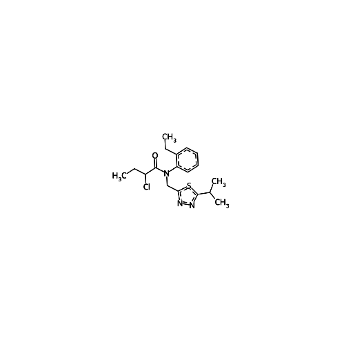 CCc1ccccc1N(Cc1nnc(C(C)C)s1)C(=O)C(Cl)CC